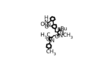 CCCCc1nc(C)nc(OCc2nc(-c3ccc(C)cc3)oc2C)c1Cc1ccc(-c2ccccc2-c2noc(=O)[nH]2)cc1